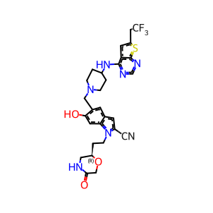 N#Cc1cc2cc(CN3CCC(Nc4ncnc5sc(CC(F)(F)F)cc45)CC3)c(O)cc2n1CC[C@@H]1CNC(=O)CO1